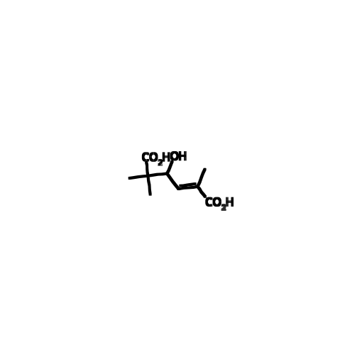 CC(=CC(O)C(C)(C)C(=O)O)C(=O)O